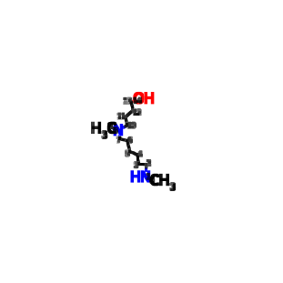 CNCCCCCCN(C)CCCCO